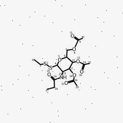 CCSSC1OC(COC(C)=O)C(OC(C)=O)C(OC(C)=O)C1NC(=O)CC